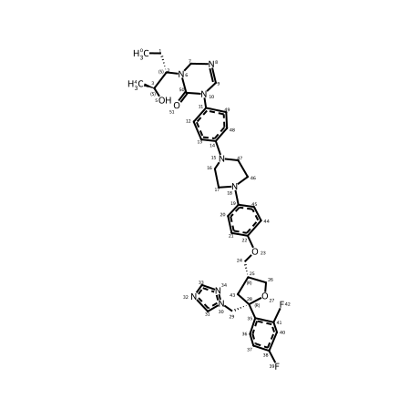 CC[C@@H]([C@H](C)O)N1CN=CN(c2ccc(N3CCN(c4ccc(OC[C@@H]5CO[C@@](Cn6cncn6)(c6ccc(F)cc6F)C5)cc4)CC3)cc2)C1=O